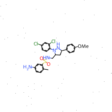 COc1ccc(C2CC(CNS(=O)(=O)c3cc(N)ccc3C)N(c3ccc(Cl)cc3Cl)N2)cc1